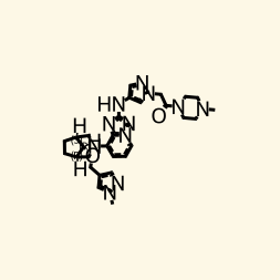 CN1CCN(C(=O)Cn2cc(Nc3nc4c(N5C[C@H]6CC[C@@H](C5)[C@H]6OCc5cnn(C)c5)cccn4n3)cn2)CC1